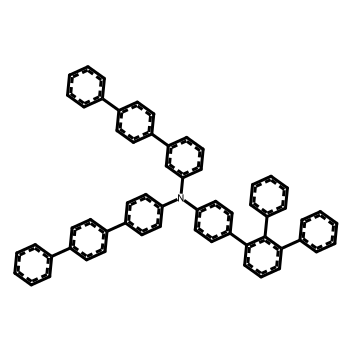 c1ccc(-c2ccc(-c3ccc(N(c4ccc(-c5cccc(-c6ccccc6)c5-c5ccccc5)cc4)c4cccc(-c5ccc(-c6ccccc6)cc5)c4)cc3)cc2)cc1